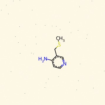 CSCc1cnccc1N